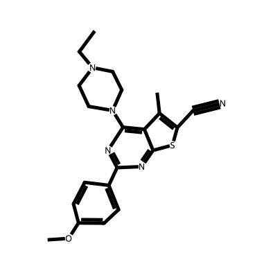 CCN1CCN(c2nc(-c3ccc(OC)cc3)nc3sc(C#N)c(C)c23)CC1